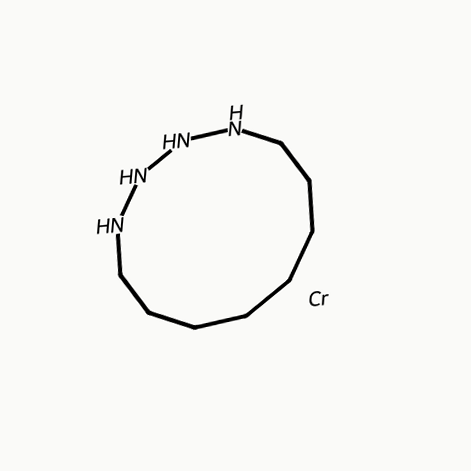 C1CCCCNNNNCCC1.[Cr]